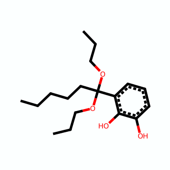 CCCCCC(OCCC)(OCCC)c1cccc(O)c1O